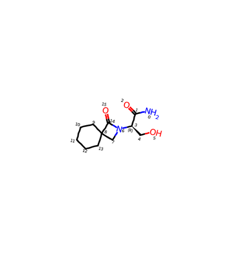 NC(=O)[C@@H](CO)N1CC2(CCCCC2)C1=O